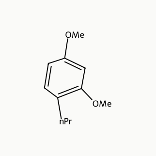 CCCc1ccc(OC)cc1OC